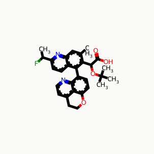 Cc1cc2nc(C(C)F)ccc2c(-c2ccc3c4c(ccnc24)CCO3)c1C(OC(C)(C)C)C(=O)O